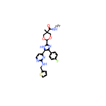 CCCNC(=O)C1(C)COC(c2nc(-c3ccc(F)cc3)c(-c3ccnc(NCc4cccs4)n3)[nH]2)OC1